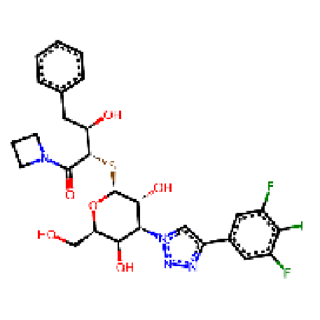 O=C([C@@H](S[C@@H]1O[C@H](CO)[C@H](O)[C@H](n2cc(-c3cc(F)c(F)c(F)c3)nn2)[C@H]1O)[C@H](O)Cc1ccccc1)N1CCC1